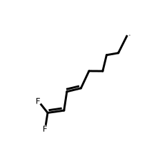 [CH2]CCCCC=CC=C(F)F